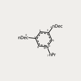 CCCCCCCCCCc1cc(CCCCCCCCCC)c[n+](CCC)c1